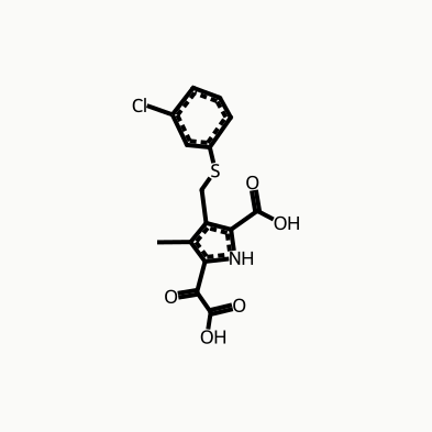 Cc1c(C(=O)C(=O)O)[nH]c(C(=O)O)c1CSc1cccc(Cl)c1